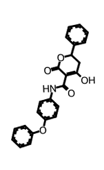 O=C(Nc1ccc(Oc2ccccc2)cc1)C1=C(O)CC(c2ccccc2)OC1=O